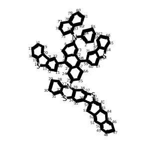 c1ccc(N(c2ccc3c(-c4ccc5sc6ccccc6c5c4)c4cc(N5c6ccccc6Sc6cc7c(cc65)sc5cc6cc8ccccc8cc6cc57)ccc4c(-c4ccc5sc6ccccc6c5c4)c3c2)c2cccc3ccccc23)cc1